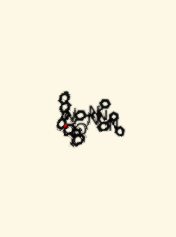 c1ccc(-c2nc(-c3ccc(-n4c5ccccc5c5cc6ccccc6cc54)c(-c4cccc5c4oc4ccccc45)c3)nc(-c3cccc4c3c3ccccc3n4-c3ccccc3)n2)cc1